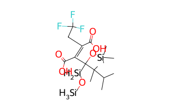 CC(C)C(C)(C)C(O[Si](C)(C)C)([SiH2]O[SiH3])/C(C(=O)O)=C(/CC(F)(F)F)C(=O)O